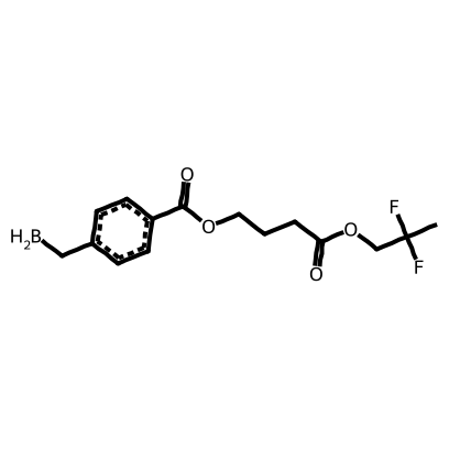 BCc1ccc(C(=O)OCCCC(=O)OCC(C)(F)F)cc1